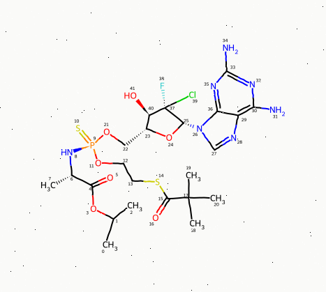 CC(C)OC(=O)[C@H](C)N[P@](=S)(OCCSC(=O)C(C)(C)C)OC[C@H]1O[C@@H](n2cnc3c(N)nc(N)nc32)[C@](F)(Cl)[C@@H]1O